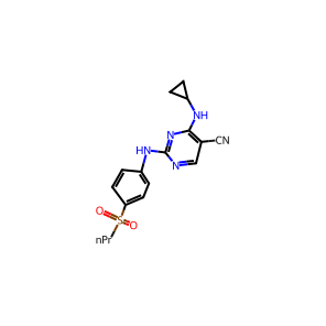 CCCS(=O)(=O)c1ccc(Nc2ncc(C#N)c(NC3CC3)n2)cc1